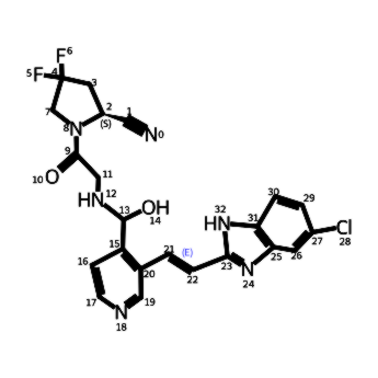 N#C[C@@H]1CC(F)(F)CN1C(=O)CNC(O)c1ccncc1/C=C/c1nc2cc(Cl)ccc2[nH]1